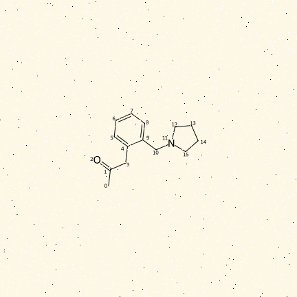 CC(=O)Cc1ccccc1CN1CCCC1